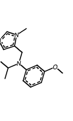 COc1cccc(N(Cc2cncn2C)C(C)C)c1